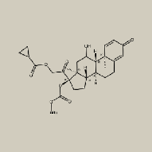 CCCCOC(=O)O[C@]1(C(=O)COC(=O)C2CC2)CC[C@H]2[C@@H]3CCC4=CC(=O)C=C[C@]4(C)[C@H]3C(O)C[C@@]21C